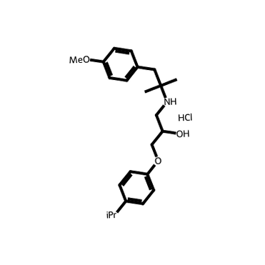 COc1ccc(CC(C)(C)NCC(O)COc2ccc(C(C)C)cc2)cc1.Cl